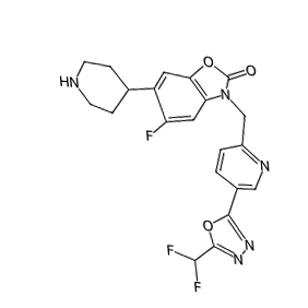 O=c1oc2cc(C3CCNCC3)c(F)cc2n1Cc1ccc(-c2nnc(C(F)F)o2)cn1